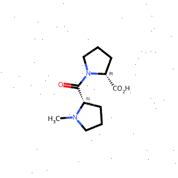 CN1CCC[C@H]1C(=O)N1CCC[C@@H]1C(=O)O